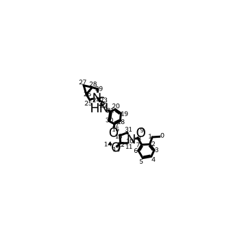 CCc1ccccc1C(=O)N1CC(OC)[C@H](Oc2cccc(NSN3CC4CC4C3)c2)C1